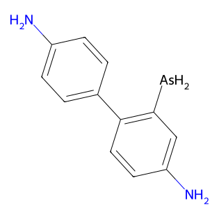 Nc1ccc(-c2ccc(N)cc2[AsH2])cc1